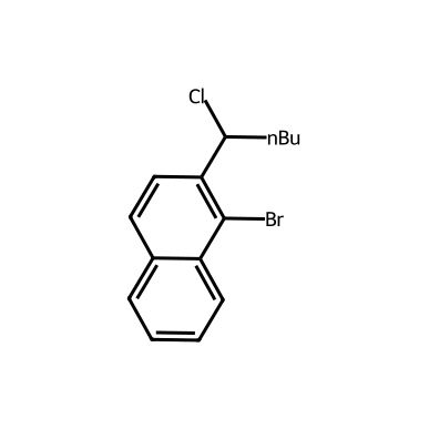 CCCCC(Cl)c1ccc2ccccc2c1Br